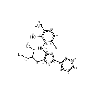 CCOC(Cn1nc(-c2cccnc2)cc1Nc1c(C)ccc([N+](=O)[O-])c1O)OCC